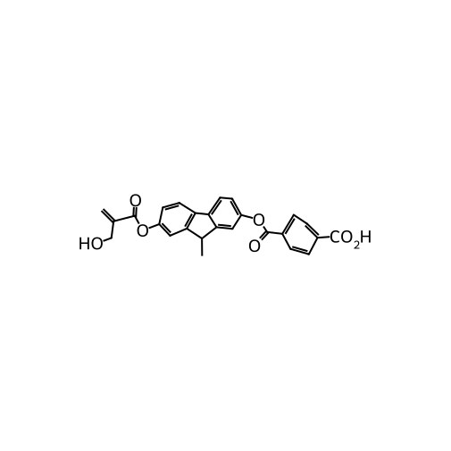 C=C(CO)C(=O)Oc1ccc2c(c1)C(C)c1cc(OC(=O)c3ccc(C(=O)O)cc3)ccc1-2